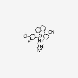 Cn1cncc1CN(Cc1ccc(C#N)c(-c2cccc3ccccc23)c1)C(=O)c1ccc(Cl)c(F)c1